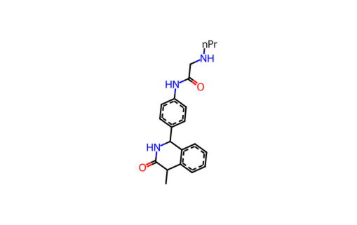 CCCNCC(=O)Nc1ccc(C2NC(=O)C(C)c3ccccc32)cc1